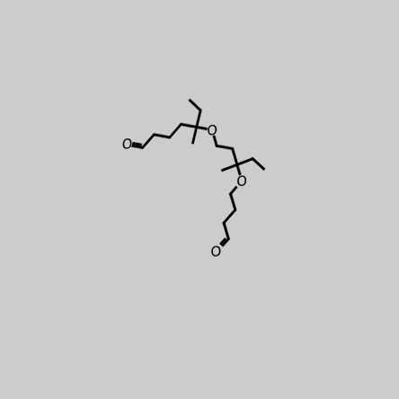 CCC(C)(CCCC=O)OCCC(C)(CC)OCCCC=O